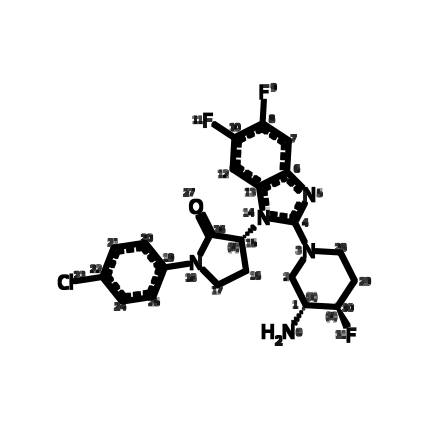 N[C@@H]1CN(c2nc3cc(F)c(F)cc3n2[C@@H]2CCN(c3ccc(Cl)cc3)C2=O)CC[C@H]1F